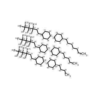 CCCCCCC[C@H]1CC[C@H](C2CCC(CCC(F)(F)C(F)(F)C(F)(F)F)CC2)CC1.CCCCC[C@H]1CC[C@H](C2CCC(CCC(F)(F)C(F)(F)C(F)(F)F)CC2)CC1.CCCC[C@H]1CC[C@H](C2CCC(CCC(F)(F)C(F)(F)C(F)(F)F)CC2)CC1